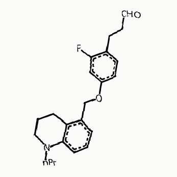 CCCN1CCCc2c(COc3ccc(CCC=O)c(F)c3)cccc21